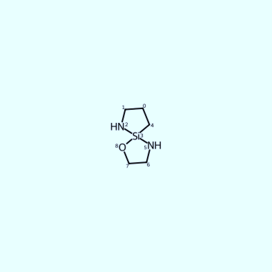 C1CN[Si]2(C1)NCCO2